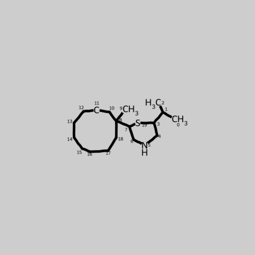 CC(C)C1CNCC(C2(C)CCCCCCCCC2)S1